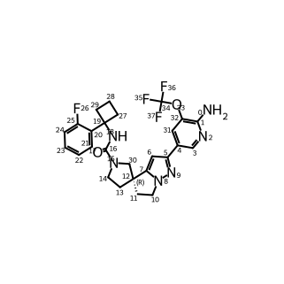 Nc1ncc(-c2cc3n(n2)CC[C@@]32CCN(C(=O)NC3(c4ccccc4F)CCC3)C2)cc1OC(F)(F)F